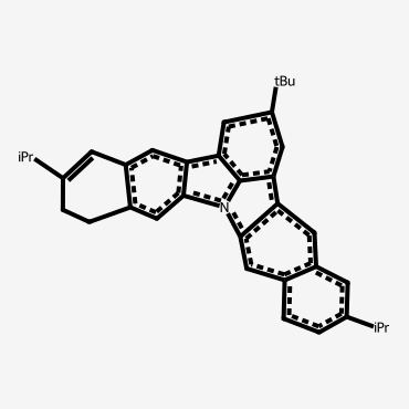 CC(C)C1=Cc2cc3c4cc(C(C)(C)C)cc5c6cc7cc(C(C)C)ccc7cc6n(c3cc2CC1)c45